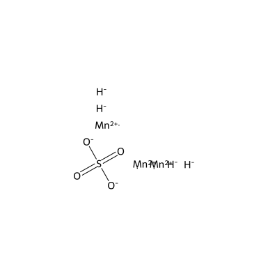 O=S(=O)([O-])[O-].[H-].[H-].[H-].[H-].[Mn+2].[Mn+2].[Mn+2]